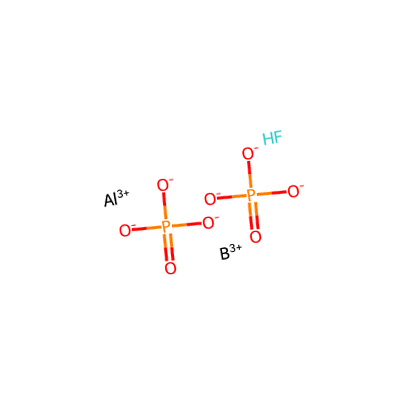 F.O=P([O-])([O-])[O-].O=P([O-])([O-])[O-].[Al+3].[B+3]